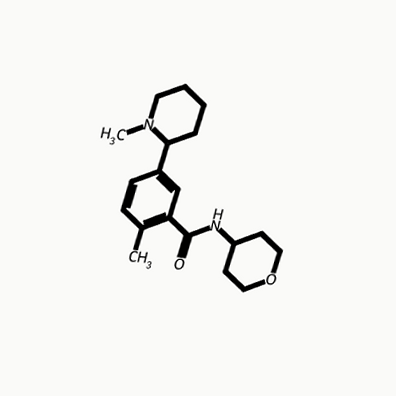 Cc1ccc(C2CCCCN2C)cc1C(=O)NC1CCOCC1